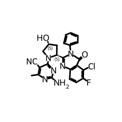 Cc1nc(N)nc(N2C[C@@H](O)C[C@H]2c2nc3ccc(F)c(Cl)c3c(=O)n2-c2ccccc2)c1C#N